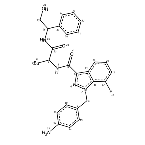 CC(C)(C)C(NC(=O)c1nn(Cc2ccc(N)cc2)c2c(F)cccc12)C(=O)NC(CO)c1ccccc1